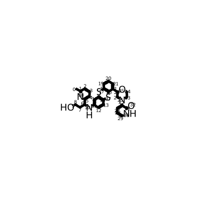 Cc1cccc(C(CCO)Nc2ccc3c(c2)Sc2cccc(C4CN(c5ccc[nH]c5=O)CCO4)c2S3)n1